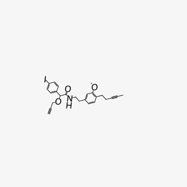 C#CCOC(C(=O)NCCc1ccc(CCC#CC)c(OC)c1)c1ccc(I)cc1